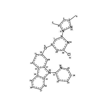 Cc1cc(C)n(-c2cc(Oc3ccc4c5ccccc5n(-c5ccccn5)c4c3)cc(Cl)n2)n1